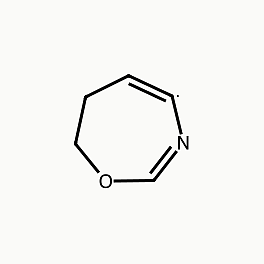 [C]1=CCCOC=N1